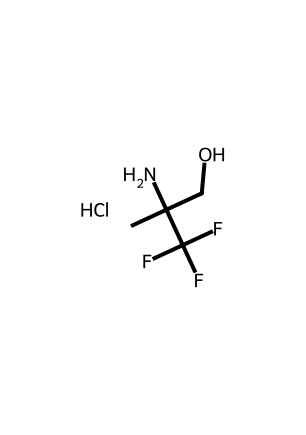 CC(N)(CO)C(F)(F)F.Cl